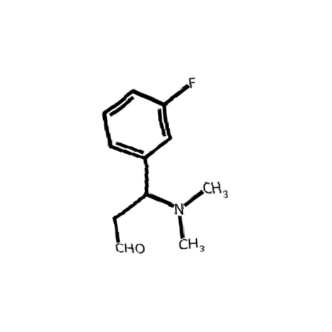 CN(C)C(CC=O)c1cccc(F)c1